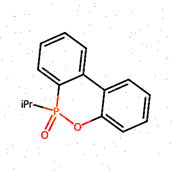 CC(C)P1(=O)Oc2ccccc2-c2ccccc21